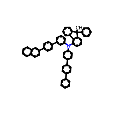 CC1(c2ccccc2)c2ccccc2-c2c(N(c3ccc(-c4ccc(-c5ccccc5)cc4)cc3)c3cccc(-c4ccc(-c5ccc6ccccc6c5)cc4)c3)cccc21